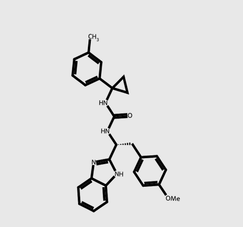 COc1ccc(C[C@@H](NC(=O)NC2(c3cccc(C)c3)CC2)c2nc3ccccc3[nH]2)cc1